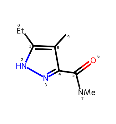 CCc1[nH]nc(C(=O)NC)c1C